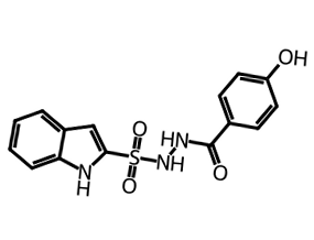 O=C(NNS(=O)(=O)c1cc2ccccc2[nH]1)c1ccc(O)cc1